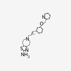 Nc1nc2c(s1)CCN(C/C=C/c1cccc(OCc3ccccn3)c1)CC2